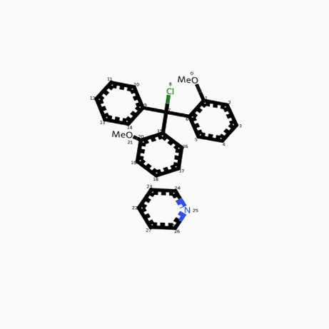 COc1ccccc1C(Cl)(c1ccccc1)c1ccccc1OC.c1ccncc1